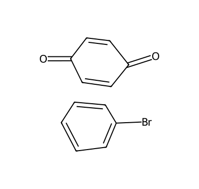 Brc1ccccc1.O=C1C=CC(=O)C=C1